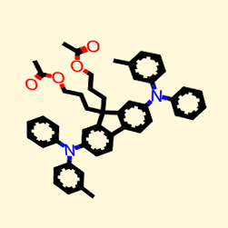 CC(=O)OCCCC1(CCCOC(C)=O)c2cc(N(c3ccccc3)c3cccc(C)c3)ccc2-c2ccc(N(c3ccccc3)c3cccc(C)c3)cc21